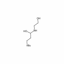 CCCCCCC(O)NCCO